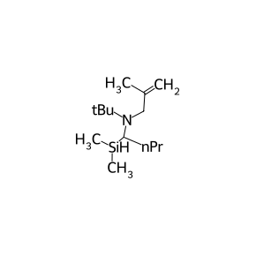 C=C(C)CN(C(CCC)[SiH](C)C)C(C)(C)C